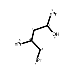 CCCC(O)CC(CCC)CC(C)C